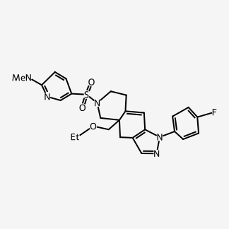 CCOCC12Cc3cnn(-c4ccc(F)cc4)c3C=C1CCN(S(=O)(=O)c1ccc(NC)nc1)C2